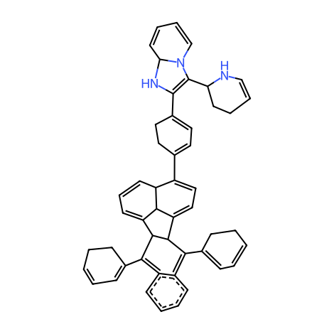 C1=CCCC(C2=c3ccccc3=C(C3=CC=CCC3)C3C4=CC=C(C5=CC=C(C6=C(C7CCC=CN7)N7C=CC=CC7N6)CC5)C5C=CC=C(C45)C23)=C1